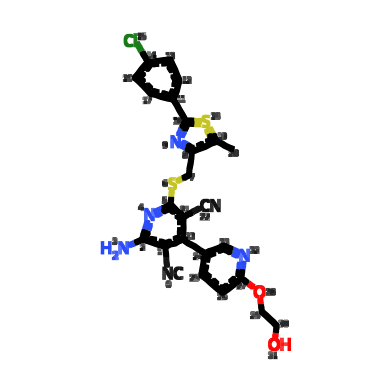 [C-]#[N+]c1c(N)nc(SCc2nc(-c3ccc(Cl)cc3)sc2C)c(C#N)c1-c1ccc(OCCO)nc1